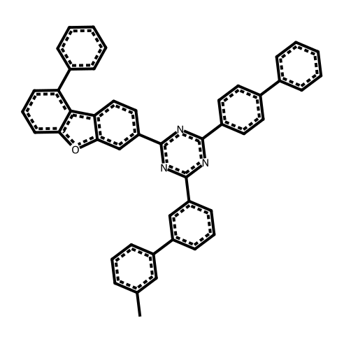 Cc1cccc(-c2cccc(-c3nc(-c4ccc(-c5ccccc5)cc4)nc(-c4ccc5c(c4)oc4cccc(-c6ccccc6)c45)n3)c2)c1